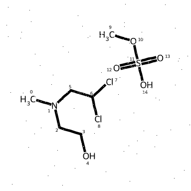 CN(CCO)CC(Cl)Cl.COS(=O)(=O)O